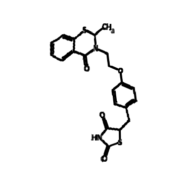 CC1Sc2ccccc2C(=O)N1CCOc1ccc(CC2SC(=O)NC2=O)cc1